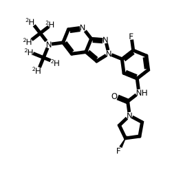 [2H]C([2H])([2H])N(c1cnc2nn(-c3cc(NC(=O)N4CC[C@@H](F)C4)ccc3F)cc2c1)C([2H])([2H])[2H]